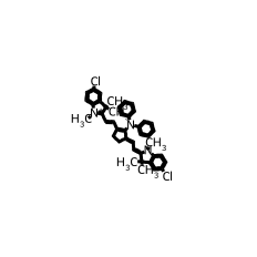 CN1C(=CC=C2CCC(C=CC3=[N+](C)c4ccc(Cl)cc4C3(C)C)=C2N(c2ccccc2)c2ccccc2)C(C)(C)c2cc(Cl)ccc21